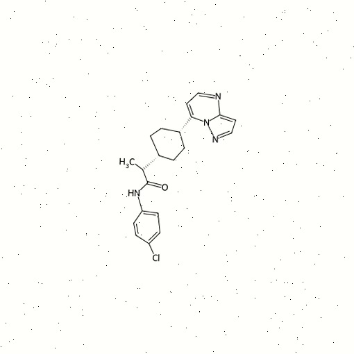 CC(C(=O)Nc1ccc(Cl)cc1)[C@H]1CC[C@@H](c2ccnc3ccnn32)CC1